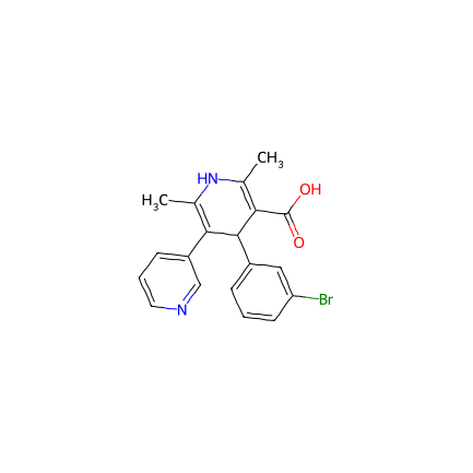 CC1=C(C(=O)O)C(c2cccc(Br)c2)C(c2cccnc2)=C(C)N1